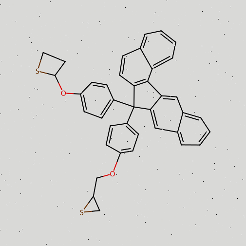 c1ccc2cc3c(cc2c1)-c1c(ccc2ccccc12)C3(c1ccc(OCC2CS2)cc1)c1ccc(OC2CCS2)cc1